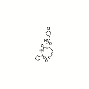 O=C(C[C@@H]1CC=CCCCC(=O)O[C@H](c2ccccc2)CNC1=O)NCc1ccc(Cl)cc1